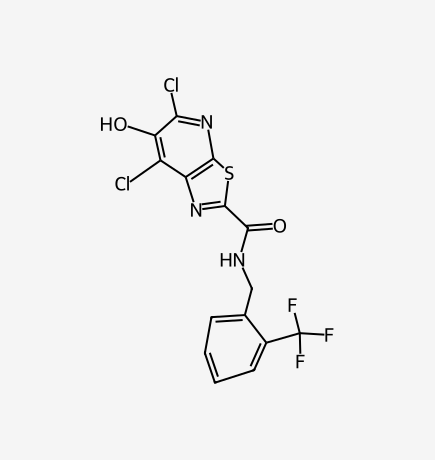 O=C(NCc1ccccc1C(F)(F)F)c1nc2c(Cl)c(O)c(Cl)nc2s1